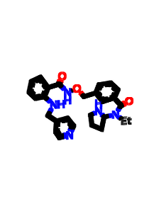 CCN(C(=O)c1cccc(CONC(=O)c2ccccc2NCc2ccncc2)c1)C1CCCN1